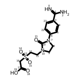 N=C(N)c1ccc(N2CCN(CCS(=O)(=O)CC(=O)O)C2=O)cc1